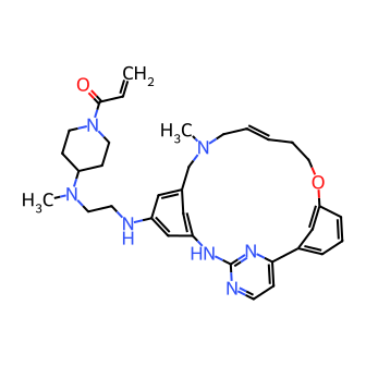 C=CC(=O)N1CCC(N(C)CCNc2cc3cc(c2)Nc2nccc(n2)-c2cccc(c2)OCC/C=C/CN(C)C3)CC1